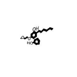 CCCCCCc1ccc(OCCOC)cc1O.Oc1ccccc1